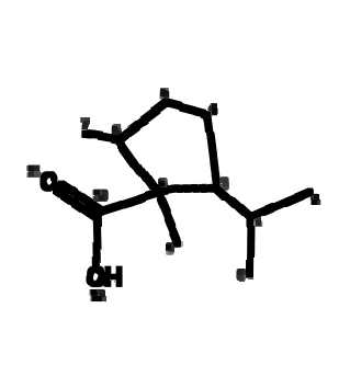 CC(C)C1CCC(C)C1(C)C(=O)O